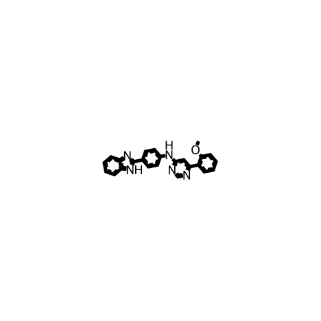 COc1ccccc1-c1cc(Nc2ccc(-c3nc4ccccc4[nH]3)cc2)ncn1